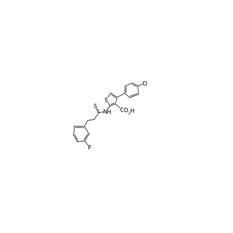 O=C(O)c1c(-c2ccc(Cl)cc2)csc1NC(=S)CCc1cccc(F)c1